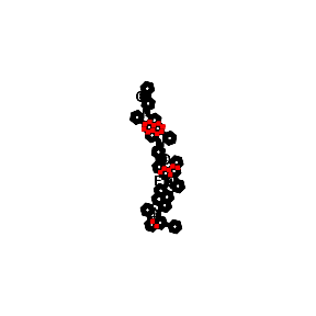 Fc1ccc(-c2ccccc2)cc1N(c1ccccc1-c1ccccc1)c1ccc2ccc3c(N(c4cc(-c5ccccc5)ccc4F)c4ccccc4-c4cccc(-c5cccc6c5oc5cc(N(c7ccccc7-c7ccccc7)c7ccc8ccc9c(N(c%10ccc%11c(c%10)oc%10ccccc%10%11)c%10ccccc%10-c%10ccccc%10)ccc%10ccc7c8c%109)ccc56)c4)ccc4ccc1c2c43